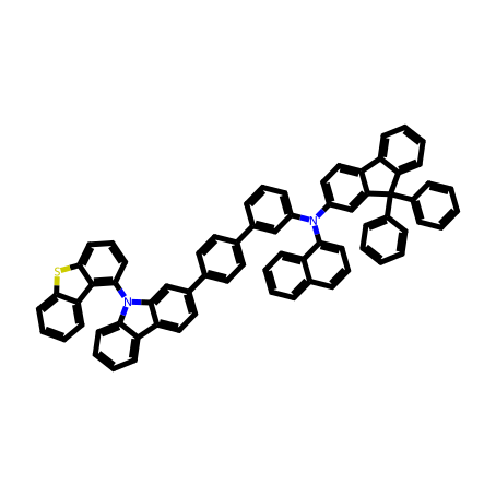 c1ccc(C2(c3ccccc3)c3ccccc3-c3ccc(N(c4cccc(-c5ccc(-c6ccc7c8ccccc8n(-c8cccc9sc%10ccccc%10c89)c7c6)cc5)c4)c4cccc5ccccc45)cc32)cc1